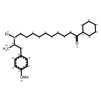 CCN(CCCCCCCCCC(=O)C1CCCCC1)C(C)Cc1ccc(OC)cc1